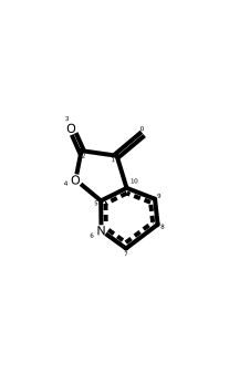 C=C1C(=O)Oc2ncccc21